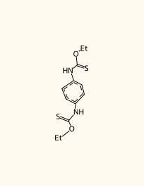 CCOC(=S)Nc1ccc(NC(=S)OCC)cc1